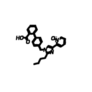 CCCCc1nc(-c2cccc[n+]2[O-])cn1Cc1ccc(-c2ccccc2C(=O)O)cc1